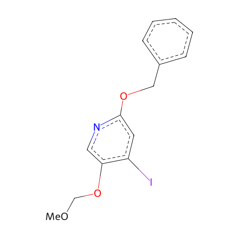 COCOc1cnc(OCc2ccccc2)cc1I